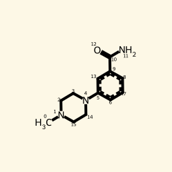 CN1CCN(c2c[c]cc(C(N)=O)c2)CC1